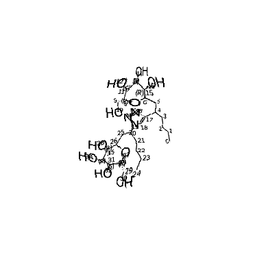 CCCCC(CC1O[C@H](CO)[C@@H](O)[C@H](O)[C@H]1O)c1cn(C(CCCC)CC2O[C@H](CO)[C@@H](O)[C@H](O)[C@H]2O)nn1